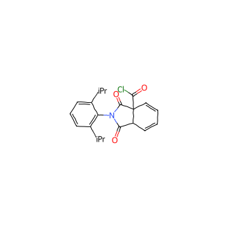 CC(C)c1cccc(C(C)C)c1N1C(=O)C2C=CC=CC2(C(=O)Cl)C1=O